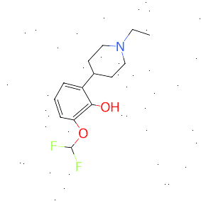 CCN1CCC(c2cccc(OC(F)F)c2O)CC1